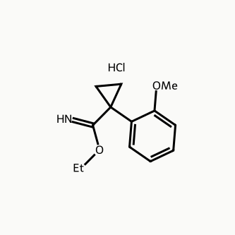 CCOC(=N)C1(c2ccccc2OC)CC1.Cl